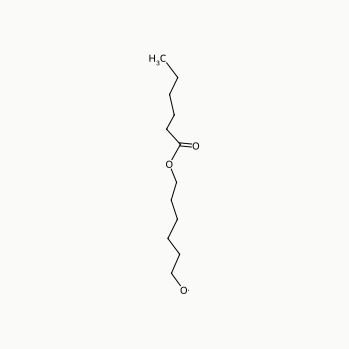 CCCCCC(=O)OCCCCCC[O]